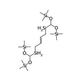 C[Si](C)(C)OC(O[Si](C)(C)C)[SiH2]CC=CC[SiH2]C(O[Si](C)(C)C)O[Si](C)(C)C